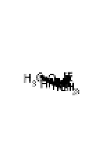 CCCCCC(=O)Nc1ccc(-c2cc(C(F)(F)F)nn2C)c(N)n1